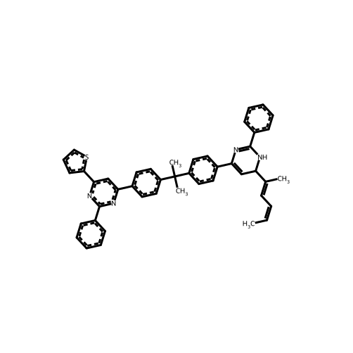 C/C=C\C=C(/C)C1C=C(c2ccc(C(C)(C)c3ccc(-c4cc(-c5cccs5)nc(-c5ccccc5)n4)cc3)cc2)N=C(c2ccccc2)N1